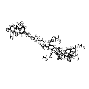 CCOc1cc(N2CCC(N3CCN(CCc4ccc5c(c4)OCN5C4CCC(=O)NC4=O)CC3)CC2)c(CC)cc1Nc1ncc(Br)c(Nc2ccc3nc(C)ccc3c2P(C)(C)=O)n1